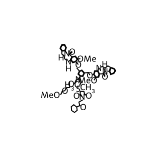 COCCOCCOCCN(CC(C)(C)SC1CC(=O)N(CCC(=O)C2CCCCC2)C1=O)c1cc(COc2cc3c(cc2OC)C(=O)N2c4ccccc4C[C@H]2C=N3)cc(COc2cc3c(cc2OC)C(=O)N2c4ccccc4C[C@H]2CN3)c1